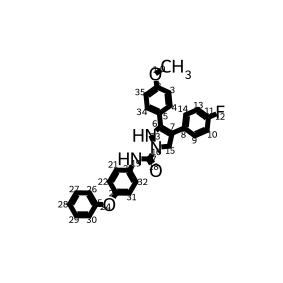 COc1ccc(C2=C(c3ccc(F)cc3)CN(C(=O)Nc3ccc(Oc4ccccc4)cc3)N2)cc1